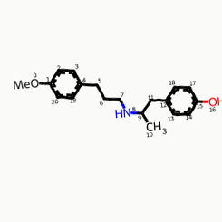 COc1ccc(CCCNC(C)Cc2ccc(O)cc2)cc1